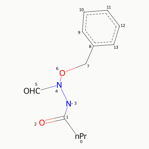 CCCC(=O)[N]N(C=O)OCc1ccccc1